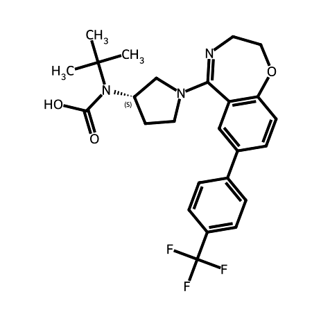 CC(C)(C)N(C(=O)O)[C@H]1CCN(C2=NCCOc3ccc(-c4ccc(C(F)(F)F)cc4)cc32)C1